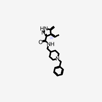 C=c1[nH]nc(C(=O)NCC2CCN(Cc3ccccc3)CC2)/c1=C/C